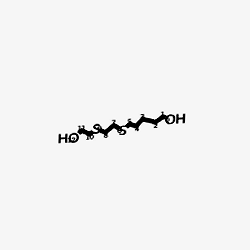 OCCCCCSCCSCCO